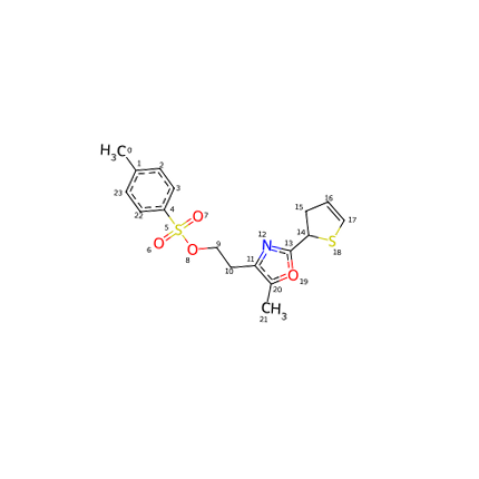 Cc1ccc(S(=O)(=O)OCCc2nc(C3CC=CS3)oc2C)cc1